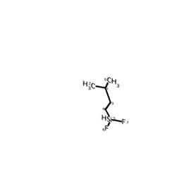 CC(C)CC[SiH](F)F